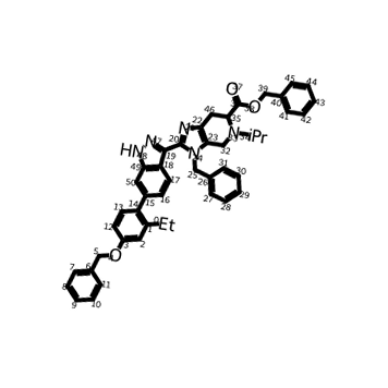 CCc1cc(OCc2ccccc2)ccc1-c1ccc2c(-c3nc4c(n3Cc3ccccc3)CN(C(C)C)C(C(=O)OCc3ccccc3)C4)n[nH]c2c1